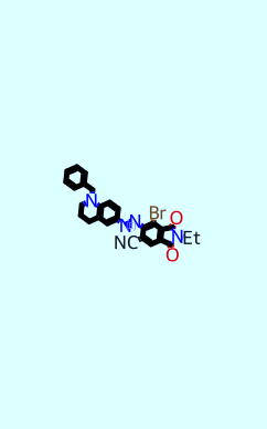 CCN1C(=O)c2cc(C#N)c(/N=N/c3ccc4c(c3)CCCN4Cc3ccccc3)c(Br)c2C1=O